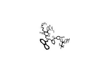 COC(=O)[C@H](CCSC)NC(=O)CN(Cc1cccc2ccccc12)C[C@@H]1CCCN1C(=O)C1CCNCC1.O=C(O)C(F)(F)F